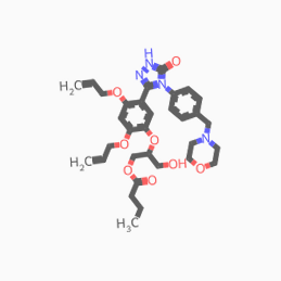 C=CCOc1cc(OCC=C)c(-c2n[nH]c(=O)n2-c2ccc(CN3CCOCC3)cc2)cc1OC(CO)COC(=O)CCC